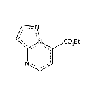 CCOC(=O)c1ccnc2ccnn12